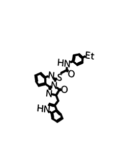 CCc1ccc(NC(=O)CSC2=Nc3ccccc3C3=NC(Cc4c[nH]c5ccccc45)C(=O)N23)cc1